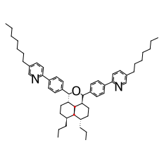 CCCCCCCc1ccc(-c2ccc(C(OC(c3ccc(-c4ccc(CCCCCCC)cn4)cc3)[C@H]3CC[C@H](CCC)CC3)[C@H]3CC[C@H](CCC)CC3)cc2)nc1